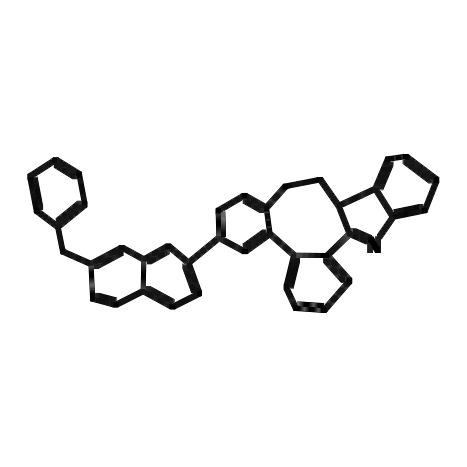 c1ccc(Cc2ccc3ccc(-c4ccc5c(c4)-c4ccccc4C4=Nc6ccccc6C4CC5)cc3c2)cc1